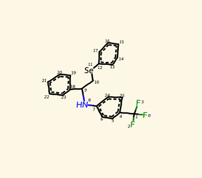 FC(F)(F)c1ccc(NC(C[Se]c2ccccc2)c2ccccc2)cc1